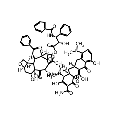 CC(=O)O[C@H]1C(=O)[C@@]2(C)[C@H]([C@H](OC(=O)c3ccccc3)[C@]3(O)C[C@H](OC(=O)[C@H](O)[C@@H](NC(=O)c4ccccc4)c4ccccc4)C(C)=C1C3(C)C)[C@]1(OC(C)=O)CO[C@@H]1C[C@@H]2O.CN(C)c1ccc(O)c2c1C[C@H]1C[C@H]3[C@H](N(C)C)C(O)=C(C(N)=O)C(=O)[C@@]3(O)C(O)=C1C2=O